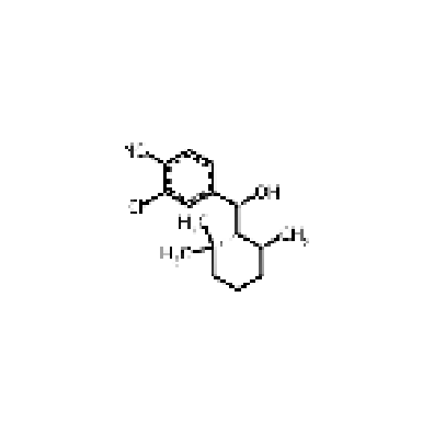 C[C@H]1CCCC(C)(C)[C@@H]1[C@H](O)c1ccc(C#N)c(Cl)c1